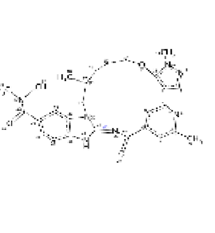 Cc1cc2cc(n1)-c1cnn(C)c1OCCC[C@@H](C)CN1/C(=N/C2=O)Nc2ccc(C(=O)N(C)C)cc21